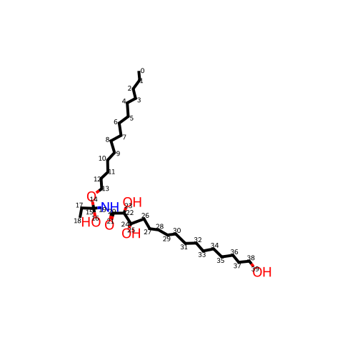 CCCCCCCCCCCCCCOC(O)(CC)NC(=O)C(O)C(O)CCCCCCCCCCCCCO